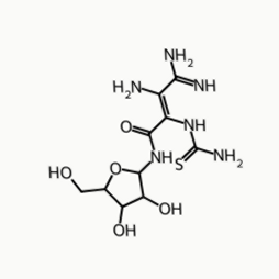 N=C(N)/C(N)=C(\NC(N)=S)C(=O)NC1OC(CO)C(O)C1O